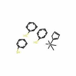 Sc1ccccc1.Sc1ccccc1.Sc1ccccc1.[CH3][Ti]([CH3])([CH3])([CH3])([CH3])[C]1=CC=CC1